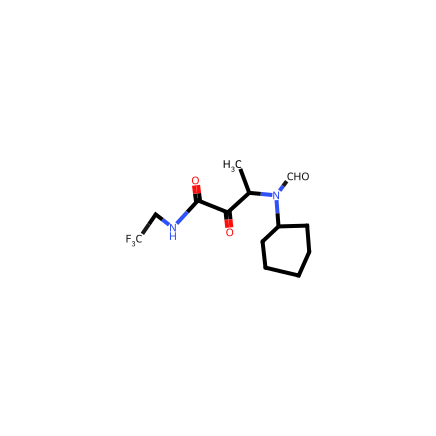 CC(C(=O)C(=O)NCC(F)(F)F)N(C=O)C1CCCCC1